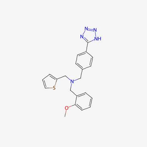 COc1ccccc1CN(Cc1ccc(-c2nnn[nH]2)cc1)Cc1cccs1